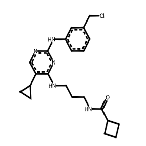 O=C(NCCCNc1nc(Nc2cccc(CCl)c2)ncc1C1CC1)C1CCC1